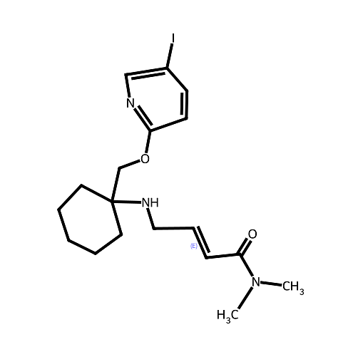 CN(C)C(=O)/C=C/CNC1(COc2ccc(I)cn2)CCCCC1